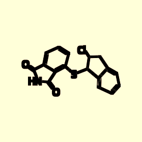 O=C1NC(=O)c2c(SC3c4ccccc4CC3Cl)cccc21